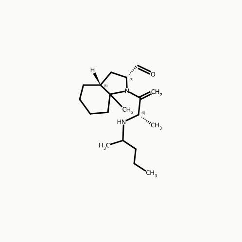 C=C([C@H](C)NC(C)CCC)N1[C@@H](C=O)C[C@H]2CCCCC21C